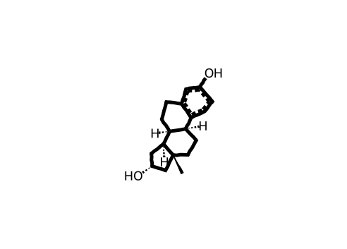 C[C@]12CC[C@@H]3c4ccc(O)cc4CC[C@@H]3[C@@H]1C[C@@H](O)C2